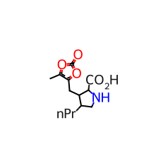 CCCC1CNC(C(=O)O)C1Cc1oc(=O)oc1C